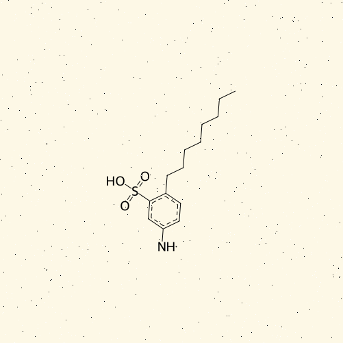 CCCCCCCCc1ccc([NH])cc1S(=O)(=O)O